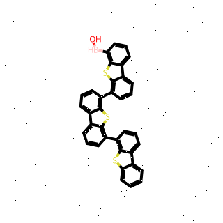 OBc1cccc2c1sc1c(-c3cccc4c3sc3c(-c5cccc6c5sc5ccccc56)cccc34)cccc12